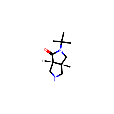 CC(C)(C)N1C[C@]2(C)CNC[C@@H]2C1=O